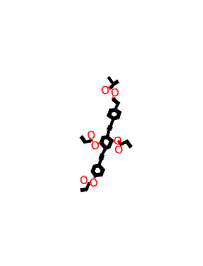 C=CC(=O)Oc1ccc(C#Cc2cc(OC(=O)C=C)c(C#Cc3ccc(/C=C/OC(=O)C(=C)C)cc3)cc2OC(=O)C=C)cc1